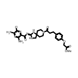 COC(=O)COc1ccc(CCC(=O)N2CCC3(CC2)CN/C(=N\C(=O)c2nc(Cl)c(N)nc2N)N3)cc1